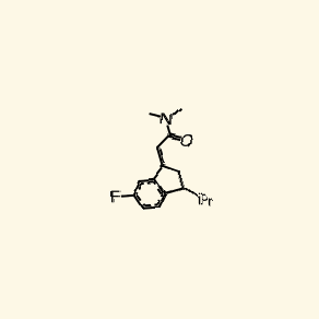 CC(C)C1CC(=CC(=O)N(C)C)c2cc(F)ccc21